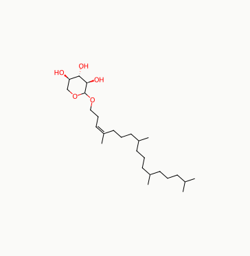 CC(=CCCOC1OC[C@@H](O)[C@H](O)[C@H]1O)CCCC(C)CCCC(C)CCCC(C)C